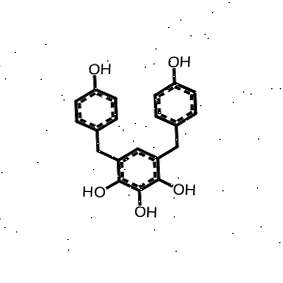 Oc1ccc(Cc2cc(Cc3ccc(O)cc3)c(O)c(O)c2O)cc1